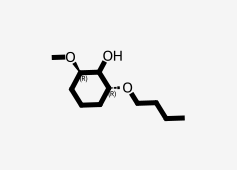 CCCCO[C@@H]1CCC[C@@H](OC)C1O